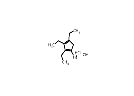 CCC1=C(CC)C(CC)=[C]([Hf])C1.Cl.Cl